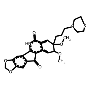 COC1C=c2c3c([nH]c(=O)c2=CC1(CCCN1CCSCC1)OC)-c1cc2c(cc1C3=O)OCO2